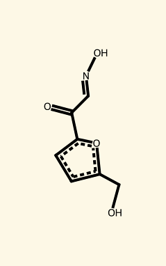 O=C(C=NO)c1ccc(CO)o1